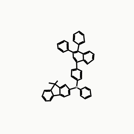 CC1(C)c2ccccc2-c2ccc(N(c3ccccc3)c3ccc(-c4cc(-c5ccccc5)c(-c5ccccc5)c5ccccc45)cc3)cc21